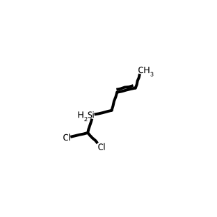 CC=CC[SiH2]C(Cl)Cl